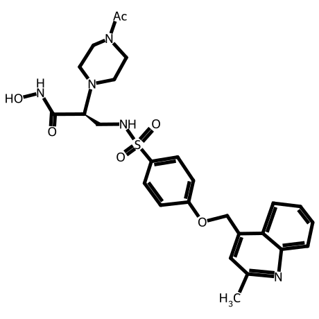 CC(=O)N1CCN([C@@H](CNS(=O)(=O)c2ccc(OCc3cc(C)nc4ccccc34)cc2)C(=O)NO)CC1